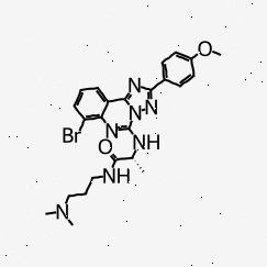 COc1ccc(-c2nc3c4cccc(Br)c4nc(N[C@H](C)C(=O)NCCCN(C)C)n3n2)cc1